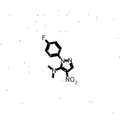 CN(C)c1c([N+](=O)[O-])cnn1-c1ccc(F)cc1